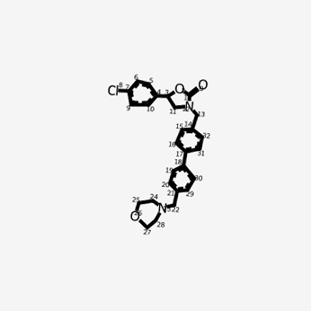 O=C1OC(c2ccc(Cl)cc2)CN1Cc1ccc(-c2ccc(CN3CCOCC3)cc2)cc1